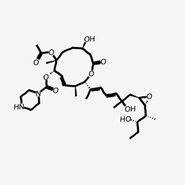 CC[C@H](O)[C@@H](C)[C@H]1O[C@@H]1CC(C)(O)/C=C/C=C(\C)[C@H]1OC(=O)C[C@H](O)CC[C@@](C)(OC(C)=O)[C@@H](OC(=O)N2CCNCC2)/C=C/[C@@H]1C